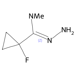 CN/C(=N\N)C1(F)CC1